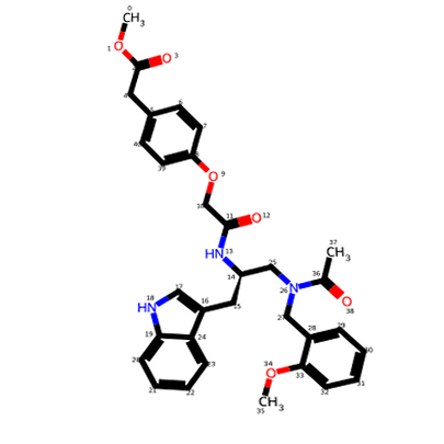 COC(=O)Cc1ccc(OCC(=O)N[C@H](Cc2c[nH]c3ccccc23)CN(Cc2ccccc2OC)C(C)=O)cc1